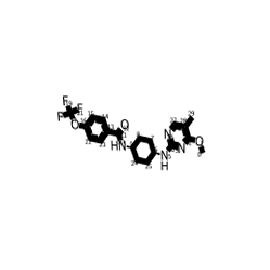 COc1nc(N[C@H]2CC[C@@H](NC(=O)c3ccc(OC(F)(F)F)cc3)CC2)ncc1C